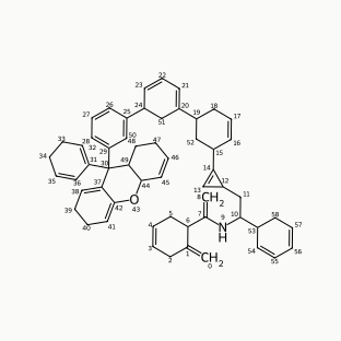 C=C1CC=CCC1C(=C)NC(CC1C=C1C1C=CCC(C2=CC=CC(c3cccc(C4(C5=CCCC=C5)C5=CCCC=C5OC5C=CCCC54)c3)C2)C1)C1C=CC=CC1